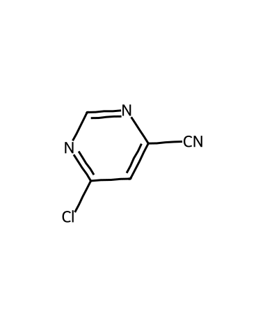 N#Cc1cc(Cl)ncn1